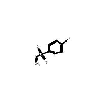 C=CS(=O)(=O)c1ccc(F)cc1